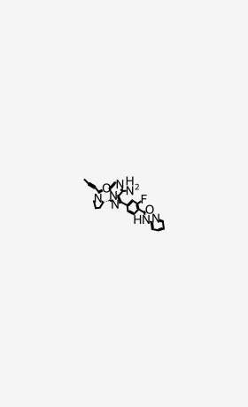 CC#CC(=O)N1CCC[C@H]1c1nc(-c2ccc(C(=O)Nc3ccccn3)c(F)c2)c2c(N)nccn12